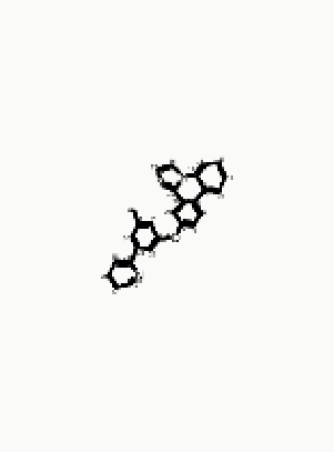 Cc1cc(Oc2ccc3c4ccccc4n4ccnc4c3c2)cc(-c2ccccn2)c1